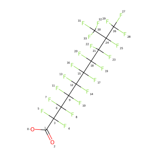 [O]C(=O)C(F)(F)C(F)(F)C(F)(F)C(F)(F)C(F)(F)C(F)(F)C(F)(F)C(F)(C(F)(F)F)C(F)(F)F